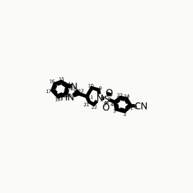 N#Cc1ccc(S(=O)(=O)N2CCC(c3nc4ccccc4[nH]3)CC2)cc1